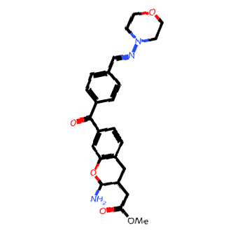 COC(=O)CC1Cc2ccc(C(=O)c3ccc(C=NN4CCOCC4)cc3)cc2OC1N